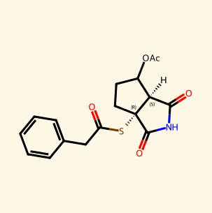 CC(=O)OC1CC[C@]2(SC(=O)Cc3ccccc3)C(=O)NC(=O)[C@H]12